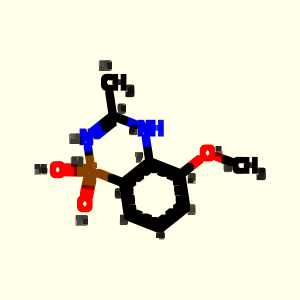 COc1cccc2c1NC(C)=NS2(=O)=O